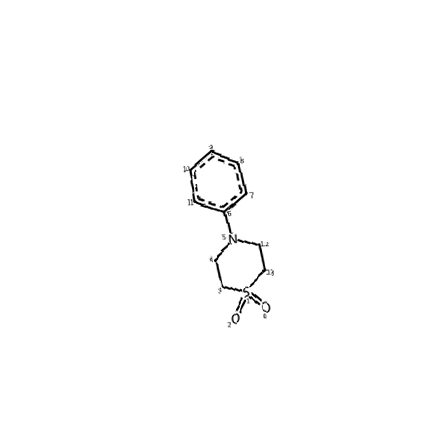 O=S1(=O)CCN(c2cc[c]cc2)CC1